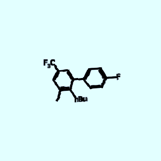 CCCCc1c(C)cc(C(F)(F)F)cc1-c1ccc(F)cc1